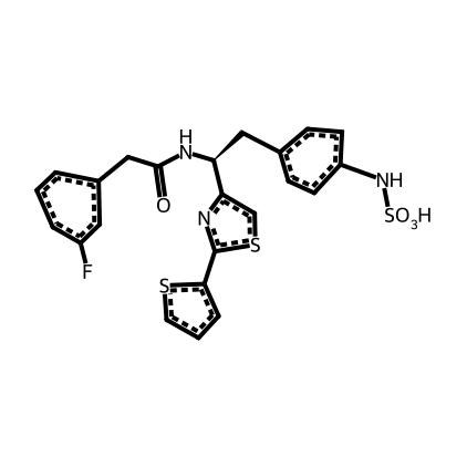 O=C(Cc1cccc(F)c1)N[C@@H](Cc1ccc(NS(=O)(=O)O)cc1)c1csc(-c2cccs2)n1